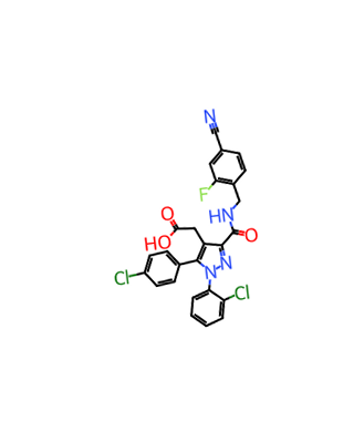 N#Cc1ccc(CNC(=O)c2nn(-c3ccccc3Cl)c(-c3ccc(Cl)cc3)c2CC(=O)O)c(F)c1